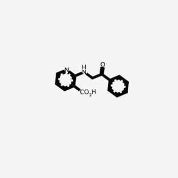 O=C(CNc1ncccc1C(=O)O)c1ccccc1